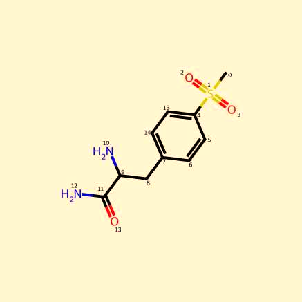 CS(=O)(=O)c1ccc(CC(N)C(N)=O)cc1